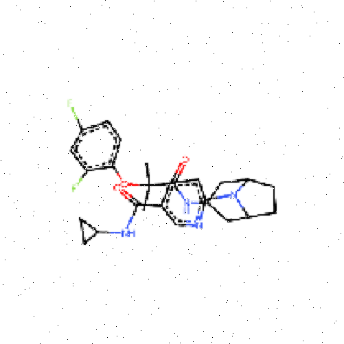 CC(C)(Oc1ccc(F)cc1F)C(=O)NC1CC2CCC(C1)N2c1ccc(C(=O)NC2CC2)cn1